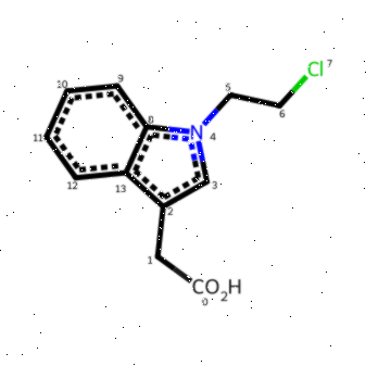 O=C(O)Cc1cn(CCCl)c2ccccc12